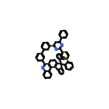 c1ccc(-c2cc(-c3cccc(-c4cccc(-c5nc6ccccc6c6c7c(ccc56)C5(c6ccccc6Sc6ccccc65)c5ccccc5-7)c4)c3)nc(-c3ccccc3)n2)cc1